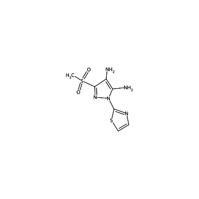 CS(=O)(=O)c1nn(-c2nccs2)c(N)c1N